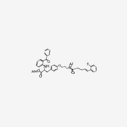 COC(=O)[C@H](Cc1ccc(OCCCNC(=O)CCC=Cc2ccccc2F)cc1)Nc1ccccc1C(=O)c1ccccc1